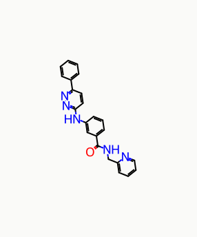 O=C(NCc1ccccn1)c1cccc(Nc2ccc(-c3ccccc3)nn2)c1